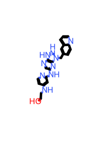 OCCNc1ccnc(Nc2cnc3c(n2)N(Cc2ccc4ncccc4c2)NN3)c1